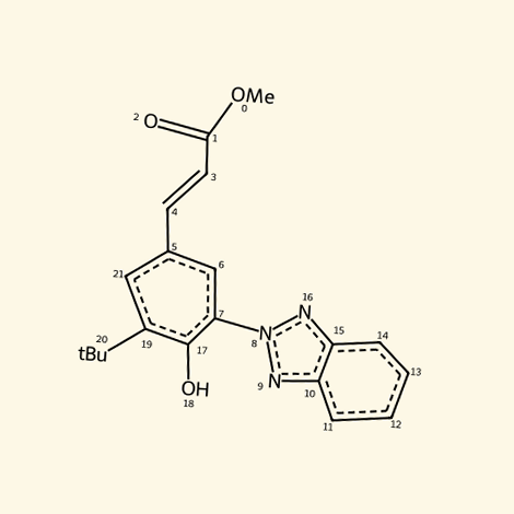 COC(=O)C=Cc1cc(-n2nc3ccccc3n2)c(O)c(C(C)(C)C)c1